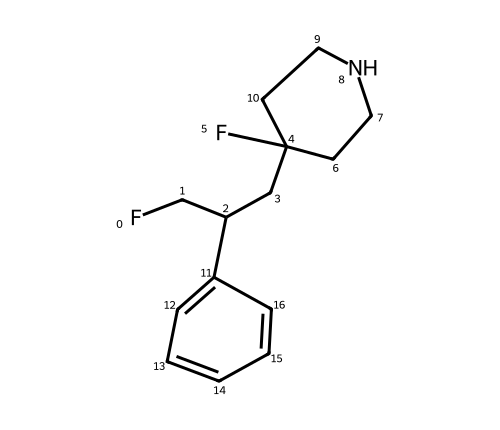 FCC(CC1(F)CCNCC1)c1ccccc1